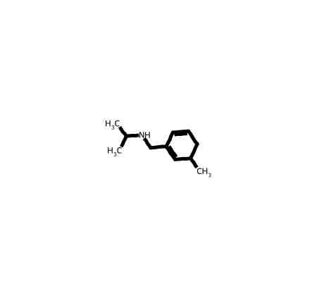 CC1C=C(CNC(C)C)C=CC1